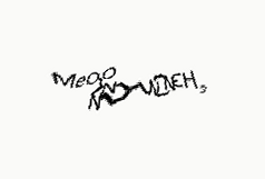 COC(=O)c1cnc2ccc(CCN3CCN(C)CC3)cn12